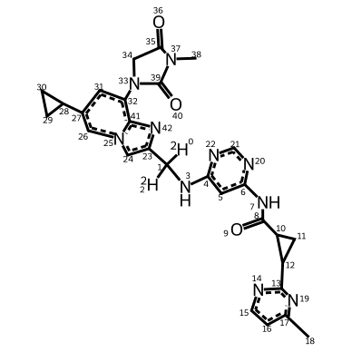 [2H]C([2H])(Nc1cc(NC(=O)C2CC2c2nccc(C)n2)ncn1)c1cn2cc(C3CC3)cc(N3CC(=O)N(C)C3=O)c2n1